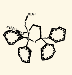 CCCCO[Si]1(OCCCC)CCC(c2ccccc2)(c2ccccc2)O[Si]1(c1ccccc1)c1ccccc1